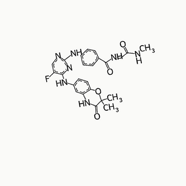 CNC(=O)CNC(=O)c1ccc(Nc2ncc(F)c(Nc3ccc4c(c3)NC(=O)C(C)(C)O4)n2)cc1